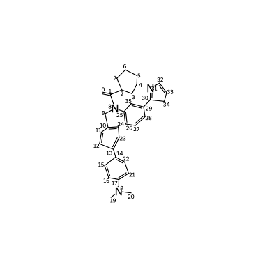 C=C(C1CCCCC1)N(Cc1ccc(-c2ccc(N(C)C)cc2)cc1)c1cccc(C2=NC=CC2)c1